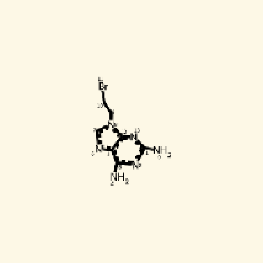 Nc1nc(N)c2ncn(CCBr)c2n1